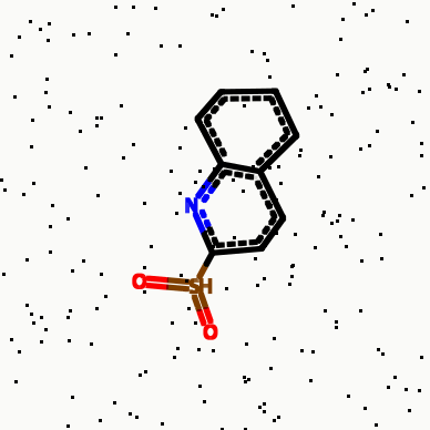 O=[SH](=O)c1ccc2ccccc2n1